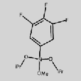 CO[Si](OC(C)C)(OC(C)C)c1cc(F)c(F)c(F)c1